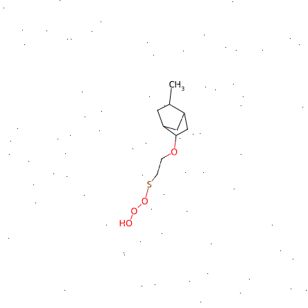 CC1CC2CC1CC2OCCSOOO